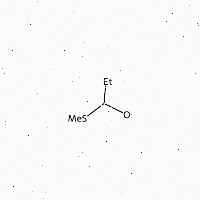 CCC([O])SC